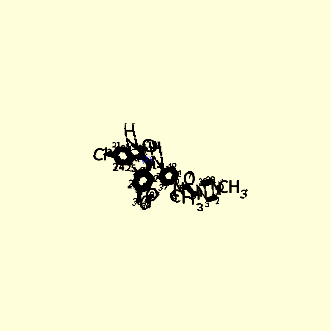 CN1CCN(CC(=O)N(C)c2ccc(N/C(=C3\C(=O)Nc4cc(Cl)ccc43)c3ccc4c(c3)OOC4)cc2)CC1